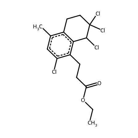 CCOC(=O)CCc1c(Cl)cc(C)c2c1C(Cl)C(Cl)(Cl)CC2